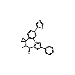 CN1C(=O)c2cc(-c3ccccc3)nn2-c2cc(-c3cnco3)ccc2C12CC2